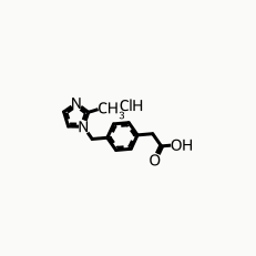 Cc1nccn1Cc1ccc(CC(=O)O)cc1.Cl